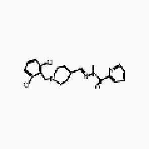 O=C(NN=CC1CCN(Cc2c(Cl)cccc2Cl)CC1)c1ccccn1